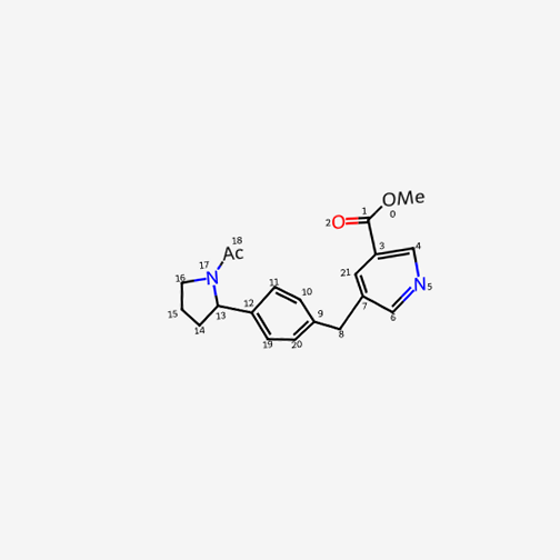 COC(=O)c1cncc(Cc2ccc(C3CCCN3C(C)=O)cc2)c1